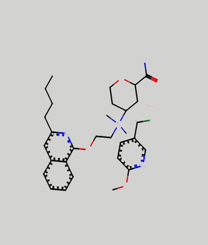 CCCCc1cc2ccccc2c(OCC[N+](C)(C)[C@@]2(C(F)c3ccc(OC)nc3)CCOC(C(N)=O)[C@@H]2O)n1